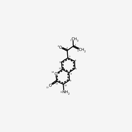 C=C(C)C(=O)c1ccc2cc(N)c(=O)oc2c1